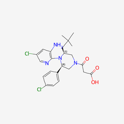 CC(C)(C)C[C@H]1CN(C(=O)CC(=O)O)C[C@@H](c2ccc(Cl)cc2)N1c1ncc(Cl)cc1N